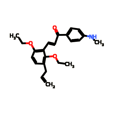 C=CCc1ccc(OCC)c(C=CC(=O)c2ccc(NC)cc2)c1OCC